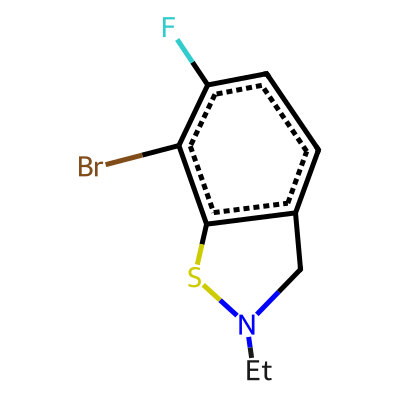 CCN1Cc2ccc(F)c(Br)c2S1